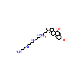 CC(CCC(=O)NCCCNCCCCNCCCN)[C@H]1CCC2C3C(CC[C@@]21C)[C@@]1(C)CC[C@@H](O)C[C@H]1C[C@H]3O